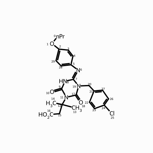 CCCOc1ccc(/N=c2\[nH]c(=O)n(C(C)(C)CC(=O)O)c(=O)n2Cc2ccc(Cl)cc2)cc1